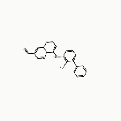 Cc1c(NC2=CC=CC3C=C(C=O)C=NC23)cccc1-c1ccccc1